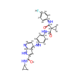 O=C(NC1CC1)c1cc2c(Nc3ccc(NC(=O)C4(C(=O)Nc5ccc(F)cc5)CC4)cc3)ccnc2[nH]1